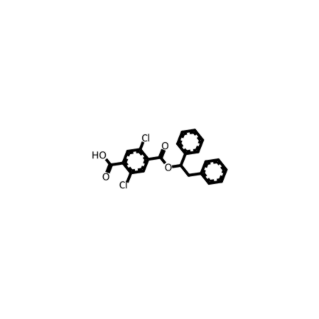 O=C(O)c1cc(Cl)c(C(=O)OC(Cc2ccccc2)c2ccccc2)cc1Cl